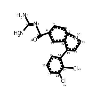 NC(N)=NC(=O)c1ccc2nccc(-c3cccc(Cl)c3Cl)c2c1